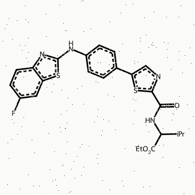 CCOC(=O)C(NC(=O)c1ncc(-c2ccc(Nc3nc4ccc(F)cc4s3)cc2)s1)C(C)C